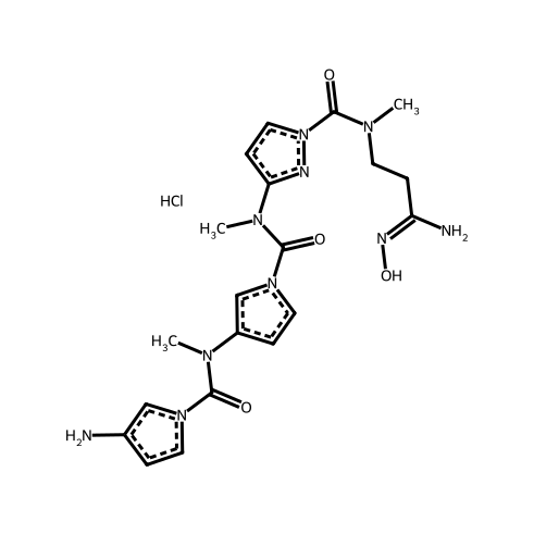 CN(CCC(N)=NO)C(=O)n1ccc(N(C)C(=O)n2ccc(N(C)C(=O)n3ccc(N)c3)c2)n1.Cl